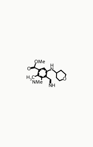 CNc1c(C)c(C(=O)OC)cc(NC2CCOCC2)c1C=N